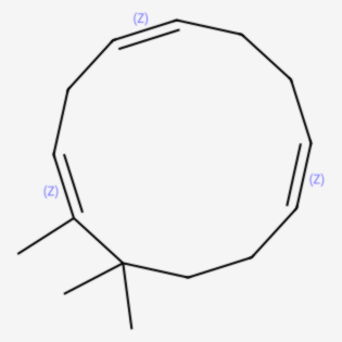 C/C1=C/C/C=C\CC/C=C\CCC1(C)C